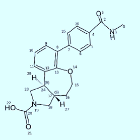 CNC(=O)c1ccc(-c2cccc3c2OCC[C@@H]2CN(C(=O)O)C[C@@H]32)cc1